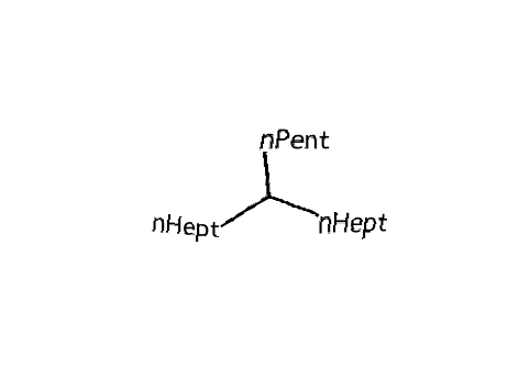 [CH2]CCCCCCC(CCCCC)CCCCCCC